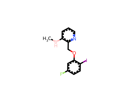 CBc1cccnc1COc1cc(F)ccc1I